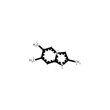 Cc1cn2cc(C)c(C)cc2n1